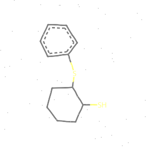 SC1CCCCC1Sc1ccccc1